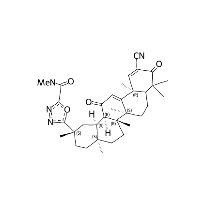 CNC(=O)c1nnc([C@@]2(C)CC[C@]3(C)CC[C@]4(C)[C@H](C(=O)C=C5[C@@]6(C)C=C(C#N)C(=O)C(C)(C)C6CC[C@]54C)[C@@H]3C2)o1